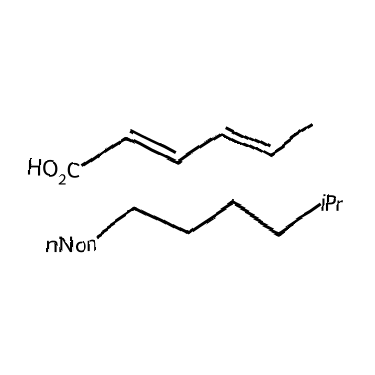 CC=CC=CC(=O)O.CCCCCCCCCCCCCC(C)C